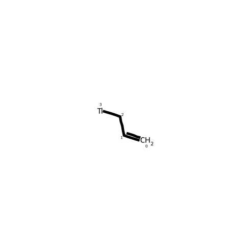 C=C[CH2][Tl]